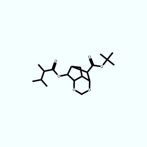 CC(C)C(C)C(=O)OC1C2CC3C1OCOC3C2C(=O)OC(C)(C)C